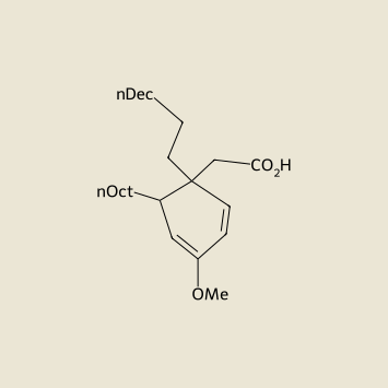 CCCCCCCCCCCCC1(CC(=O)O)C=CC(OC)=CC1CCCCCCCC